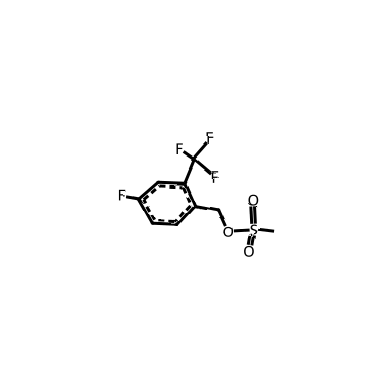 CS(=O)(=O)OCc1ccc(F)cc1C(F)(F)F